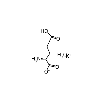 N[C@@H](CCC(=O)O)C(=O)[O-].O.[K+]